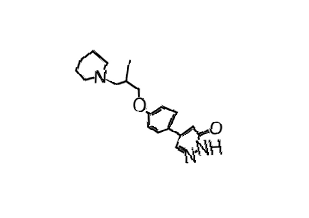 CC(COc1ccc(-c2cn[nH]c(=O)c2)cc1)CN1CCCCC1